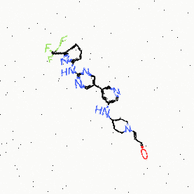 O=CC=CN1CCC(Nc2cncc(-c3cnc(Nc4cccc(C(F)(F)F)n4)nc3)c2)CC1